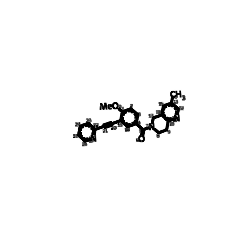 COc1ccc(C(=O)N2CCc3ncc(C)cc3C2)cc1C#Cc1ccccn1